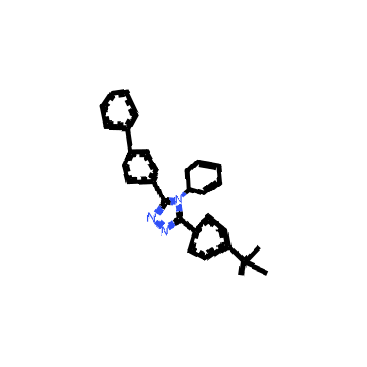 CC(C)(C)c1ccc(-c2nnc(-c3ccc(-c4ccccc4)cc3)n2C2C=CC=CC2)cc1